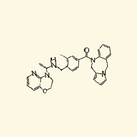 C=C(NCc1ccc(C(=O)N2Cc3cccn3Cc3ccccc32)cc1C)N1CCOc2cccnc21